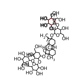 C=C1C[C@@]23CCC4[C@](C)(C(=O)OC5CC(CO)C(O)C(OC6OC(CO)C(O)C(O)C6O)C5OC5OC(CO)C(O)C(O)C5O)CCC[C@@]4(C)[C@@H]2CCC1(OC1OC(CO)C(O)C(OC2OC(CO)C(O)C(O)C2O)C1OC1OC(CO)C(O)C(O)C1O)C3